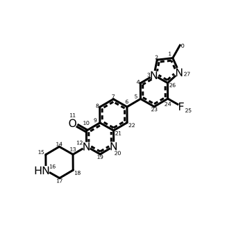 Cc1cn2cc(-c3ccc4c(=O)n(C5CCNCC5)cnc4c3)cc(F)c2n1